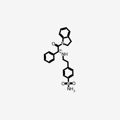 NS(=O)(=O)c1ccc(CCN[C@@H](C(=O)N2CCc3ccccc32)c2ccccc2)cc1